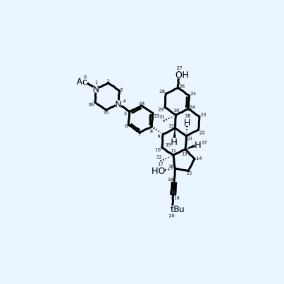 CC(=O)N1CCN(c2ccc([C@H]3C[C@@]4(C)[C@@H](CC[C@@]4(O)C#CC(C)(C)C)[C@@H]4CCC5=CC(O)CC[C@]5(C)[C@H]43)cc2)CC1